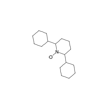 [O]N1C(C2CCCCC2)CCCC1C1CCCCC1